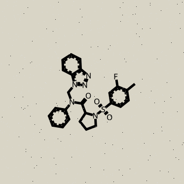 Cc1ccc(S(=O)(=O)N2CCCC2C(=O)N(Cn2nnc3ccccc32)c2ccccc2)cc1F